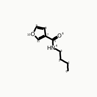 CCCCNC(=O)c1ccoc1